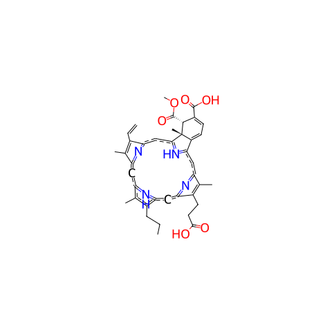 C=CC1=C(C)c2cc3[nH]c(cc4nc(cc5[nH]c(cc1n2)[C@@]1(C)C5=CC=C(C(=O)O)[C@H]1C(=O)OC)C(C)=C4CCC(=O)O)c(CCC)c3C